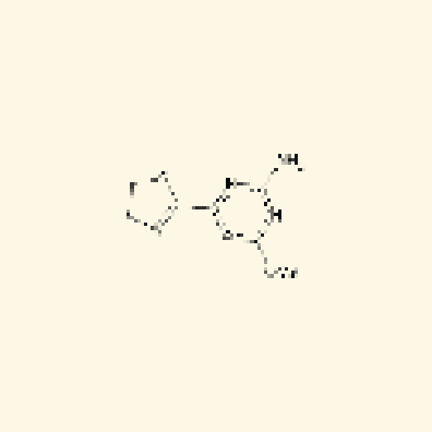 COc1cc(C2=NCCS2)nc(N)n1